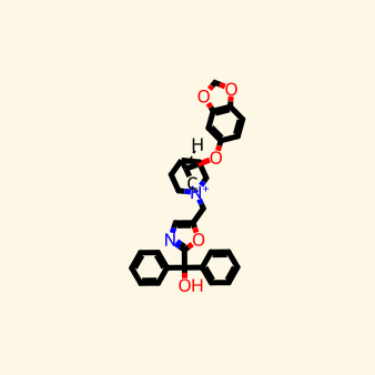 OC(c1ccccc1)(c1ccccc1)c1ncc(C[N+]23CCC(CC2)[C@@H](Oc2ccc4c(c2)OCO4)C3)o1